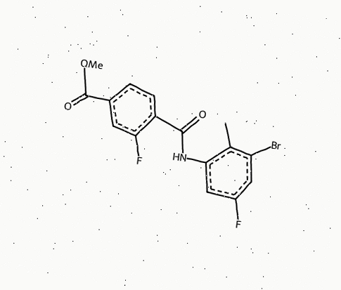 COC(=O)c1ccc(C(=O)Nc2cc(F)cc(Br)c2C)c(F)c1